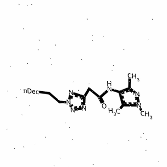 CCCCCCCCCCCCn1nnc(CC(=O)Nc2c(C)nn(C)c2C)n1